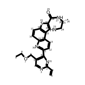 C=Cc1ncc(COCC)c(-c2ccc3c(ccc4sc5c(c43)NC[C@@H](C)NC5=O)n2)n1